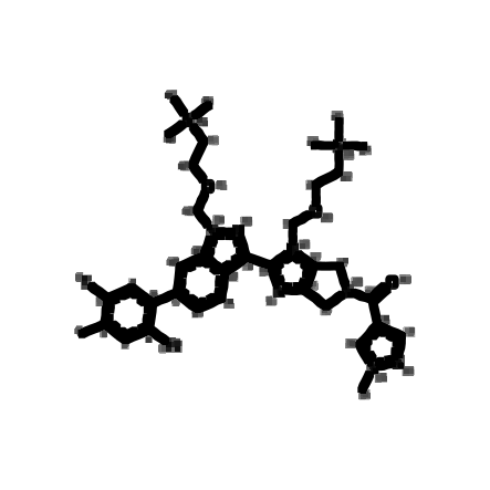 CCc1cc(C)c(F)cc1-c1ccc2c(-c3nc4c(n3COCC[Si](C)(C)C)CN(C(=O)c3cnn(C)c3)C4)nn(COCC[Si](C)(C)C)c2c1